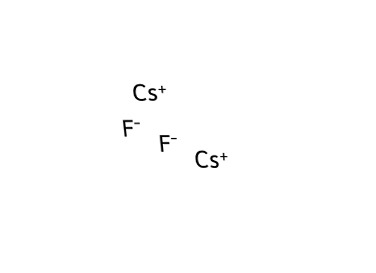 [Cs+].[Cs+].[F-].[F-]